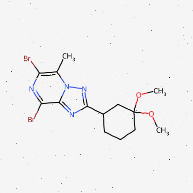 COC1(OC)CCCC(c2nc3c(Br)nc(Br)c(C)n3n2)C1